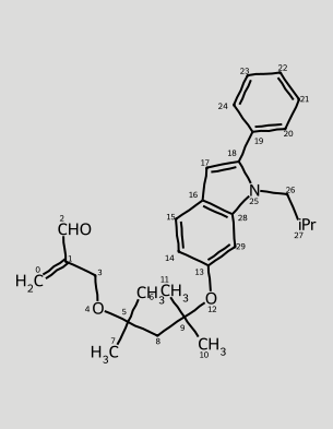 C=C(C=O)COC(C)(C)CC(C)(C)Oc1ccc2cc(-c3ccccc3)n(CC(C)C)c2c1